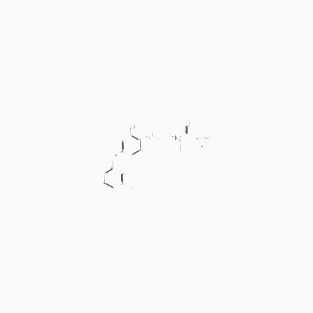 Cc1cccc(Oc2ccc(OCCNC(=O)C3CC3)c(Cl)c2)c1